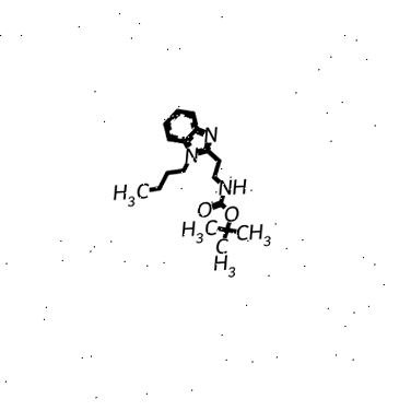 CCCCn1c(CCNC(=O)OC(C)(C)C)nc2ccccc21